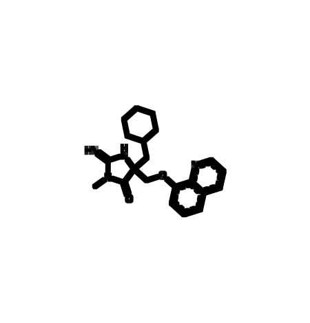 CN1C(=N)NC(COc2cccc3cccnc23)(CC2CCCCC2)C1=O